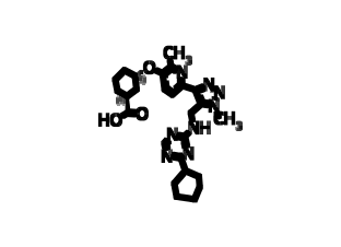 Cc1nc(-c2nnn(C)c2CNc2ncnc(C3CCCCC3)n2)ccc1O[C@H]1CCC[C@H](C(=O)O)C1